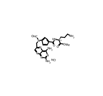 COC(=O)[C@H](CCCN)NC(=O)c1ccc(N(C=O)Cc2cnc3nc(N)nc(N)c3n2)cc1.Cl